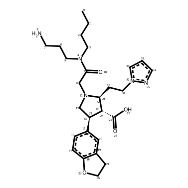 CCCCN(CCCN)C(=O)CN1C[C@H](c2ccc3c(c2)CCO3)[C@@H](C(=O)O)[C@@H]1CCn1cccn1